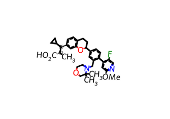 COc1cc(-c2ccc(C3CCc4ccc([C@H](C5CC5)[C@H](C)C(=O)O)cc4O3)cc2CN2CCOCC2(C)C)c(F)cn1